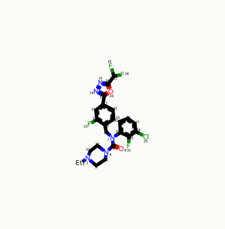 CCN1CCN(C(=O)N(Cc2ccc(-c3nnc(C(F)F)o3)cc2F)c2cccc(Cl)c2F)CC1